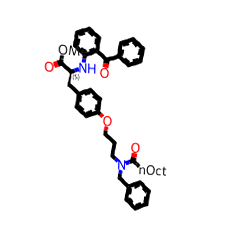 CCCCCCCCC(=O)N(CCCOc1ccc(C[C@H](Nc2ccccc2C(=O)c2ccccc2)C(=O)OC)cc1)Cc1ccccc1